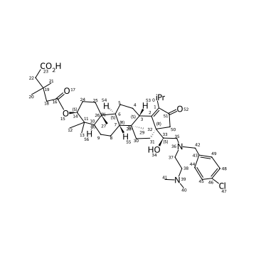 CC(C)C1=C2[C@H]3CC[C@H]4[C@@H](CC[C@H]5C(C)(C)[C@@H](OC(=O)CC(C)(C)CC(=O)O)CC[C@]45C)[C@]3(C)CC[C@@]2([C@H](O)CN(CCN(C)C)Cc2ccc(Cl)cc2)CC1=O